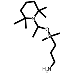 CC(O[Si](C)(C)CCCN)N1C(C)(C)CCCC1(C)C